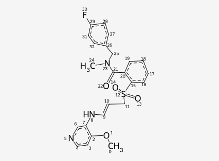 COc1ccncc1NC=CCS(=O)(=O)c1ccccc1C(=O)N(C)Cc1ccc(F)cc1